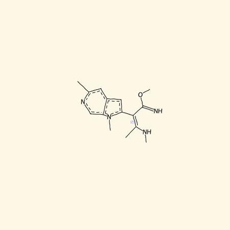 CN/C(C)=C(\C(=N)OC)c1cc2cc(C)ncc2n1C